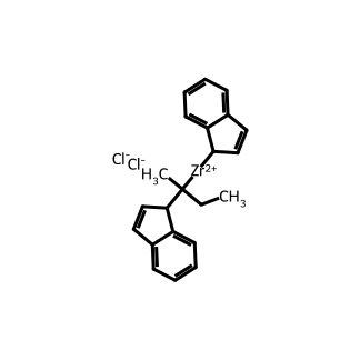 CC[C](C)([Zr+2][CH]1C=Cc2ccccc21)C1C=Cc2ccccc21.[Cl-].[Cl-]